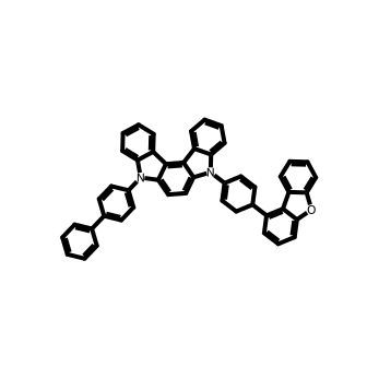 C1=CC(c2cccc3oc4ccccc4c23)CC=C1n1c2ccccc2c2c3c4ccccc4n(-c4ccc(-c5ccccc5)cc4)c3ccc21